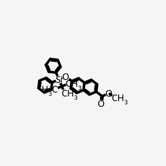 COC(=O)c1ccc2cc(O[Si](c3ccccc3)(c3ccccc3)C(C)(C)C)ccc2c1